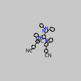 N#Cc1ccc(-c2ccc3c(c2)c2ccccc2n3-c2cc(-c3cc(-c4ccccc4)nc(-c4ccccc4)n3)cc(-n3c4ccccc4c4cc(-c5ccc(C#N)cc5)ccc43)c2C#N)cc1